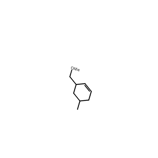 COCC1C=CCC(C)C1